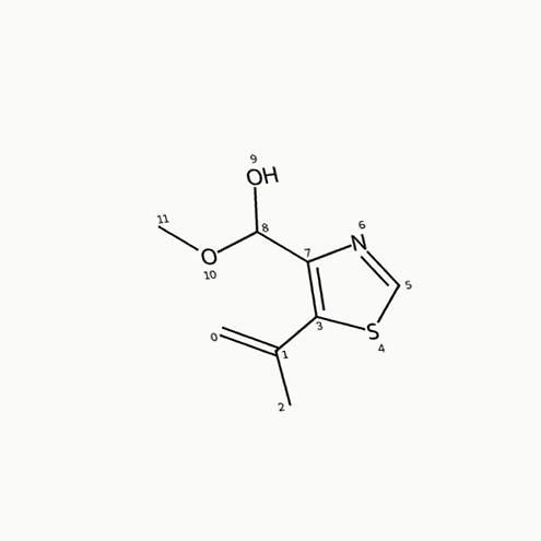 C=C(C)c1scnc1C(O)OC